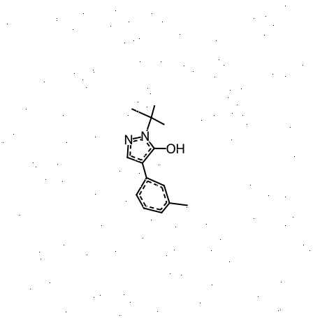 Cc1cccc(-c2cnn(C(C)(C)C)c2O)c1